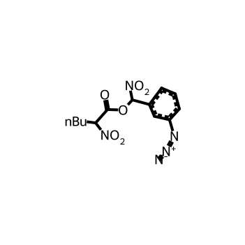 CCCCC(C(=O)OC(c1cccc(N=[N+]=[N-])c1)[N+](=O)[O-])[N+](=O)[O-]